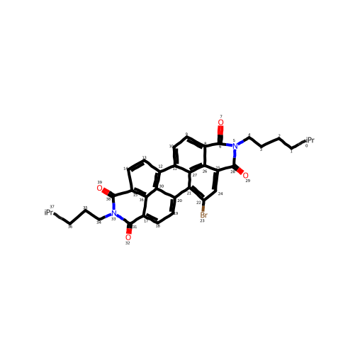 CC(C)CCCCN1C(=O)c2ccc3c4ccc5c6c(ccc(c7c(Br)cc(c2c37)C1=O)c64)C(=O)N(CCCC(C)C)C5=O